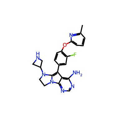 Cc1cccc(Oc2ccc(-c3c4n(c5ncnc(N)c35)CCN4C3CNC3)cc2F)n1